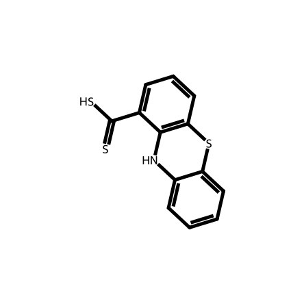 S=C(S)c1cccc2c1Nc1ccccc1S2